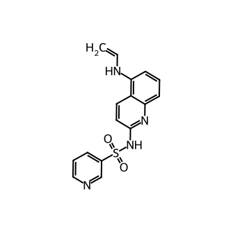 C=CNc1cccc2nc(NS(=O)(=O)c3cccnc3)ccc12